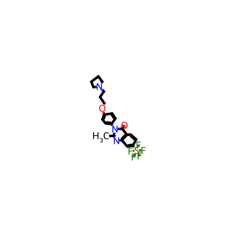 Cc1nc2cc(S(F)(F)(F)(F)F)ccc2c(=O)n1-c1ccc(OCCCN2CCCC2)cc1